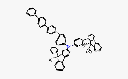 CC1(C)c2ccccc2-c2cccc(-c3ccc(N(c4ccc(-c5ccc(-c6ccc(-c7ccccc7)cc6)cc5)cc4)c4ccc5c(c4)C(C)(c4ccccc4)c4ccccc4-5)cc3)c21